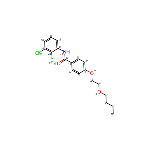 CCCCOCCOc1ccc(C(=O)Nc2cccc(Cl)c2Cl)cc1